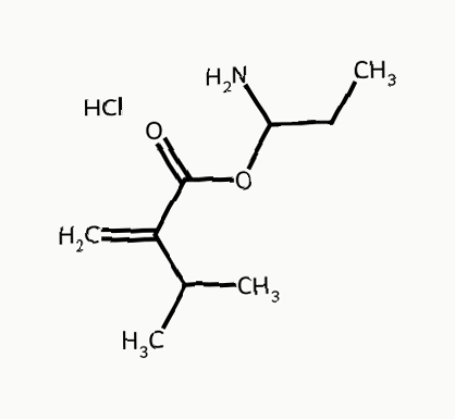 C=C(C(=O)OC(N)CC)C(C)C.Cl